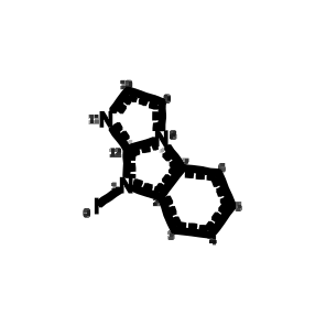 In1c2ccccc2n2ccnc12